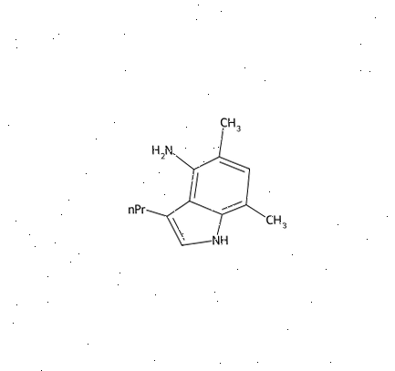 CCCc1c[nH]c2c(C)cc(C)c(N)c12